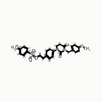 COc1ccc(CN2C(=O)CCN(c3ccc(CCOS(=O)(=O)c4ccc(C)cc4)cc3)C2=O)cc1